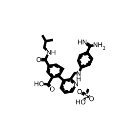 CC(C)CNC(=O)c1ccc(-c2cccnc2CNc2ccc(C(=N)N)cc2)c(C(=O)O)c1.CS(=O)(=O)O